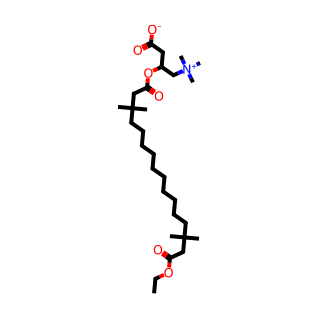 CCOC(=O)CC(C)(C)CCCCCCCCCCC(C)(C)CC(=O)OC(CC(=O)[O-])C[N+](C)(C)C